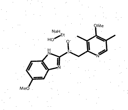 CCO.COc1ccc2[nH]c([S+]([O-])Cc3ncc(C)c(OC)c3C)nc2c1.[NaH]